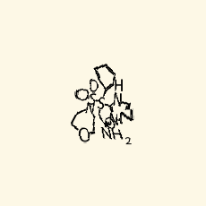 NC(=O)CS(c1ccccc1)(c1nnc[nH]1)S(=O)(=O)N1CCOCC1